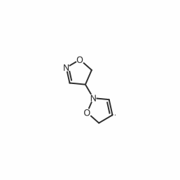 [C]1=CN(C2C=NOC2)OC1